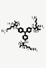 CC(=O)[C@](N)(CCCCN)C(=O)Nc1ccc(C(c2ccc(NC(=O)[C@@](N)(CCCCN)C(C)=O)cc2)c2ccc(NC(=O)[C@@](N)(CCCCN)C(C)=O)cc2)cc1